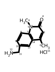 Cc1cc(=O)n(C)c2ccc(CN)cc12.Cl